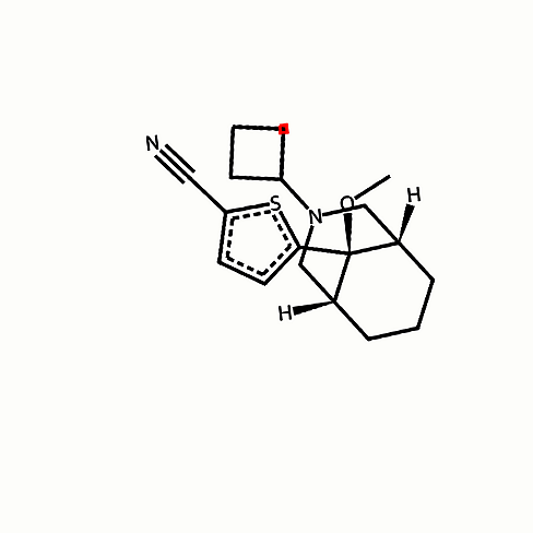 CO[C@]1(c2ccc(C#N)s2)[C@@H]2CCC[C@H]1CN(C13CC(C1)C3)C2